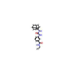 CC(C)CNC(=O)c1cccc(NC(=O)NC2C3CC4CC(C3)CC2C4)c1